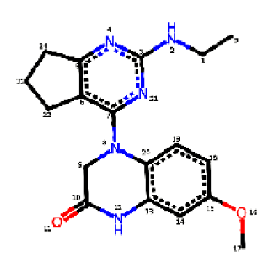 CCNc1nc2c(c(N3CC(=O)Nc4cc(OC)ccc43)n1)CCC2